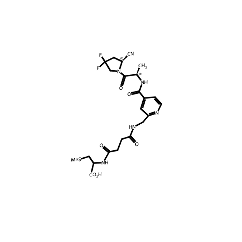 CSCC(NC(=O)CCC(=O)NCc1cc(C(=O)N[C@H](C)C(=O)N2CC(F)(F)C[C@H]2C#N)ccn1)C(=O)O